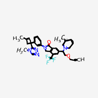 C#CCOCC(c1cc2c(c(C(F)(F)F)c1)CN(c1cccc(C3(c4nncn4C)CC(C)C3)c1)C2=O)N1CCC[C@H](C)C1